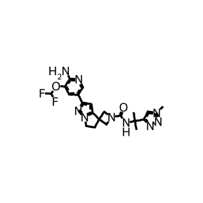 Cn1cc(C(C)(C)NC(=O)N2CC3(CCn4nc(-c5cnc(N)c(OC(F)F)c5)cc43)C2)nn1